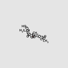 CCc1c2c(nc3ccc(O)cc13)-c1cc3c(c(=O)n1C2)COC(=O)C3(CC)OC(=O)OCc1ccc(CN2C(=O)CC(C)C2=O)cc1